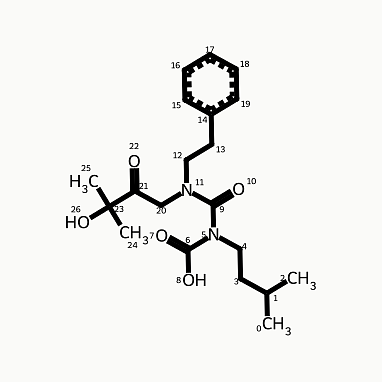 CC(C)CCN(C(=O)O)C(=O)N(CCc1ccccc1)CC(=O)C(C)(C)O